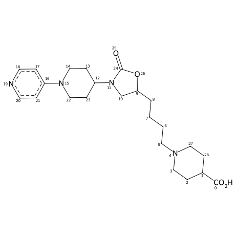 O=C(O)C1CCN(CCCCC2CN(C3CCN(c4ccncc4)CC3)C(=O)O2)CC1